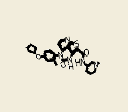 Cc1cc(OC2CCCC2)ccc1N1C(=O)Nc2c(C(=O)NC3CCCN(C)C3)sc3nccc1c23